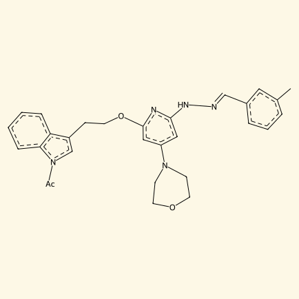 CC(=O)n1cc(CCOc2cc(N3CCOCC3)cc(NN=Cc3cccc(C)c3)n2)c2ccccc21